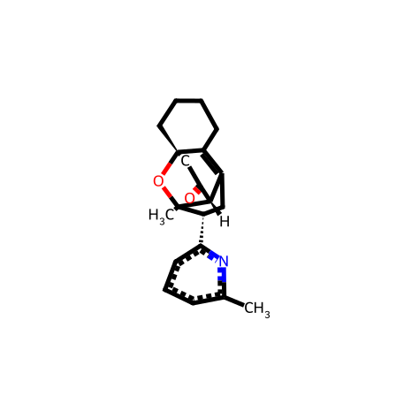 Cc1cccc([C@H]2CC3=C4CCCC[C@]45CC(=O)[C@H]3C2(C)O5)n1